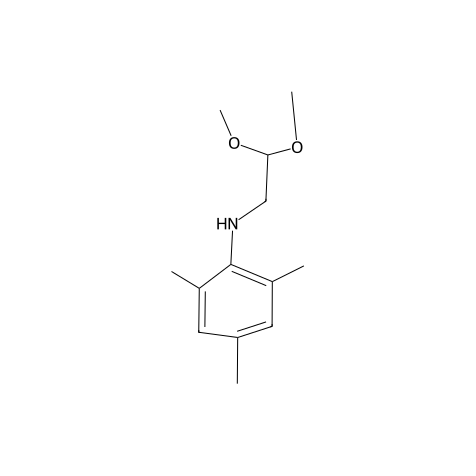 COC(CNc1c(C)cc(C)cc1C)OC